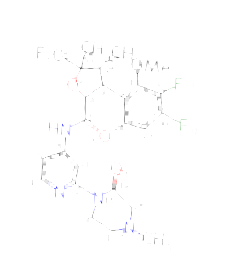 COc1c(C2C(C(=O)Nc3ccnc(N4CCN(C)CC4=O)c3)OC(C)(C(F)(F)F)C2C)ccc(F)c1F